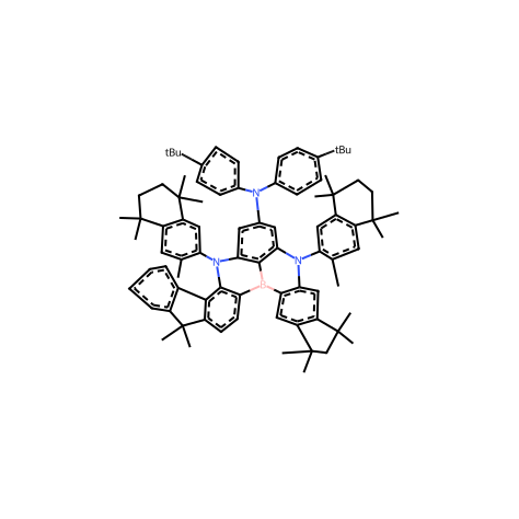 Cc1cc2c(cc1N1c3cc4c(cc3B3c5ccc6c(c5N(c5cc7c(cc5C)C(C)(C)CCC7(C)C)c5cc(N(c7ccc(C(C)(C)C)cc7)c7ccc(C(C)(C)C)cc7)cc1c53)-c1ccccc1C6(C)C)C(C)(C)CC4(C)C)C(C)(C)CCC2(C)C